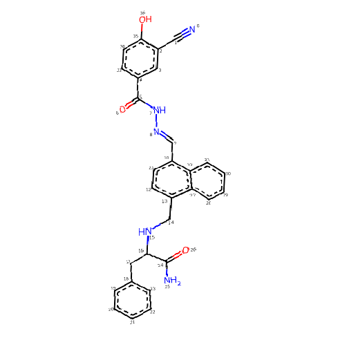 N#Cc1cc(C(=O)N/N=C/c2ccc(CNC(Cc3ccccc3)C(N)=O)c3ccccc23)ccc1O